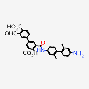 Cc1cc(N)ccc1-c1ccc(NC(=O)c2cc(-c3ccc(C(=O)O)c(C=O)c3)ccc2C(=O)O)cc1C